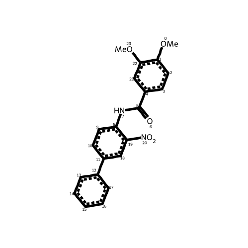 COc1ccc(C(=O)Nc2ccc(-c3ccccc3)cc2[N+](=O)[O-])cc1OC